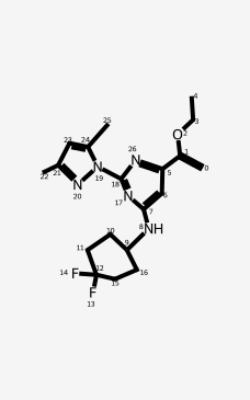 C=C(OCC)c1cc(NC2CCC(F)(F)CC2)nc(-n2nc(C)cc2C)n1